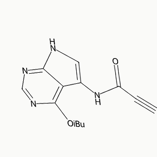 C#CC(=O)Nc1c[nH]c2ncnc(OCC(C)C)c12